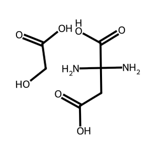 NC(N)(CC(=O)O)C(=O)O.O=C(O)CO